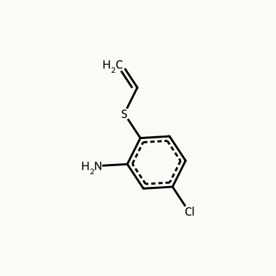 C=CSc1ccc(Cl)cc1N